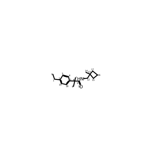 CCc1ccc(C(C)(C)C(=O)NCC2(C)CCC2)cc1